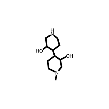 CN1CCC(C2CCNCC2O)C(O)C1